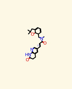 CN(CC1C=CC=C2CC(C)(C)OC21)C(=O)/C=C/c1cnc2c(c1)CCC(=O)N2